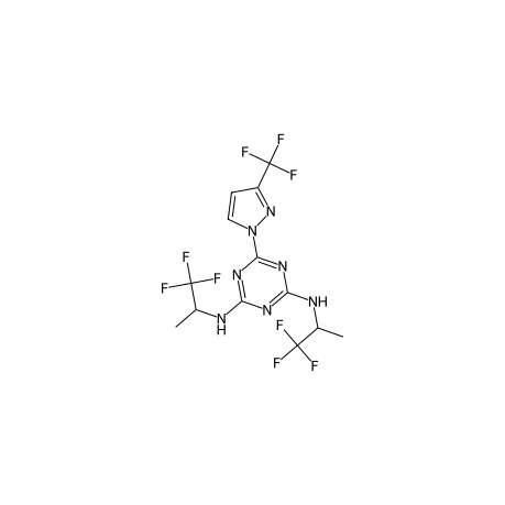 CC(Nc1nc(NC(C)C(F)(F)F)nc(-n2ccc(C(F)(F)F)n2)n1)C(F)(F)F